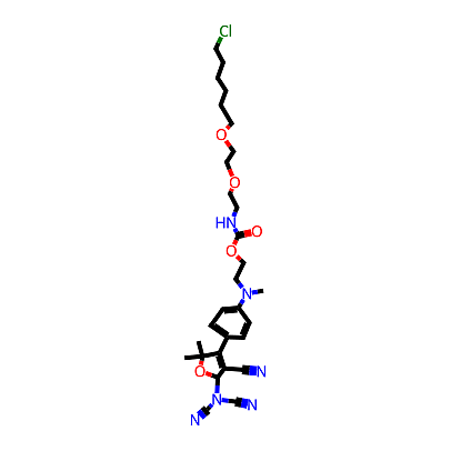 CN(CCOC(=O)NCCOCCOCCCCCCCl)c1ccc(C2=C(C#N)C(N(C#N)C#N)OC2(C)C)cc1